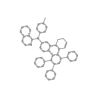 Cc1ccc(N(c2ccc3c(c2)c2c(c4c(-c5ccccc5)cc(-c5ccccc5)c(-c5ccccc5)c43)C=CCC2)c2nccc3ccccc23)cc1